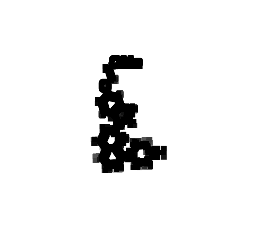 COCCOc1ccc2c(c1)ncn2-c1ccc2cccc(N3CCNCC3)c2n1